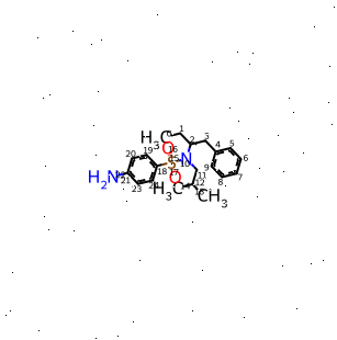 CC[C](Cc1ccccc1)N(CC(C)C)S(=O)(=O)c1ccc(N)cc1